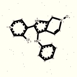 [O-][S+]1C=Cc2c([nH]c(-c3ccncc3C(F)(F)F)c2Nc2ccccc2)C1